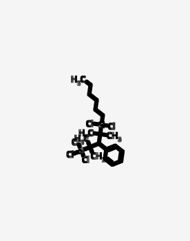 CCCCCC[Si](Cl)(Cl)C(C)(C)C(c1ccccc1)C(C)(C)[Si](Cl)(Cl)Cl